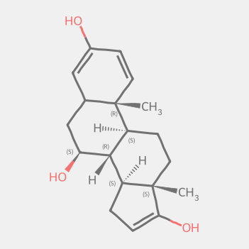 C[C@]12C=CC(O)=CC1C[C@H](O)[C@@H]1[C@@H]2CC[C@]2(C)C(O)=CC[C@@H]12